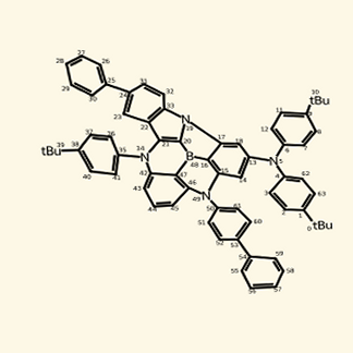 CC(C)(C)c1ccc(N(c2ccc(C(C)(C)C)cc2)c2cc3c4c(c2)-n2c5c(c6cc(-c7ccccc7)ccc62)N(c2ccc(C(C)(C)C)cc2)c2cccc(c2B45)N3c2ccc(-c3ccccc3)cc2)cc1